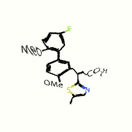 COc1ccc(F)cc1-c1ccc(OC)c(C(CC(=O)O)c2ncc(C)s2)c1